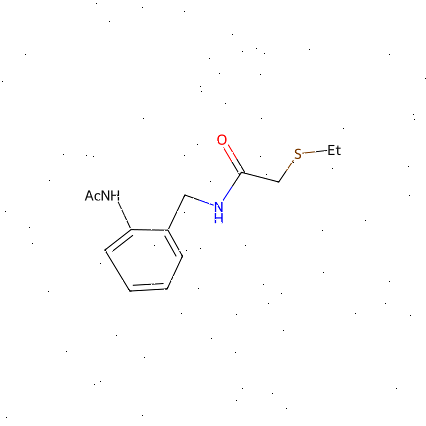 CCSCC(=O)NCc1ccccc1NC(C)=O